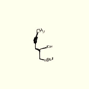 CC#CC[C@@H](O)CCCCC